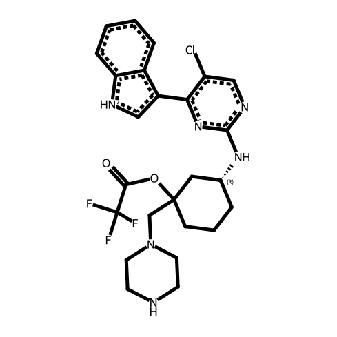 O=C(OC1(CN2CCNCC2)CCC[C@@H](Nc2ncc(Cl)c(-c3c[nH]c4ccccc34)n2)C1)C(F)(F)F